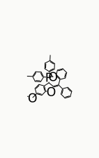 COc1ccc2c(c1)OC(=C(c1ccccc1)c1ccccc1)C2P(=O)(c1ccc(C)cc1)c1ccc(C)cc1